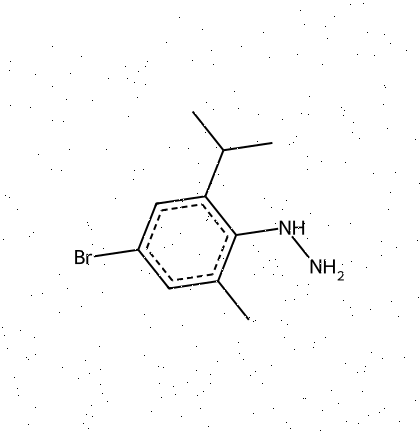 Cc1cc(Br)cc(C(C)C)c1NN